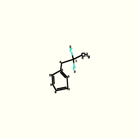 CC(F)(F)Cc1c[c]ccc1